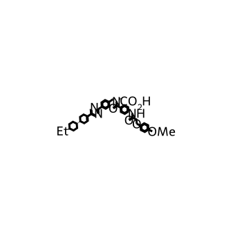 CC[C@H]1CC[C@H](C2CC=C(c3cnc(-c4ccc(CN(CC(=O)O)C(=O)c5ccc(NC(=O)COc6ccc(OC)cc6)cc5)cc4)nc3)CC2)CC1